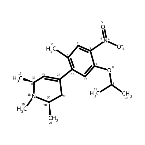 Cc1cc([N+](=O)[O-])c(OC(C)C)cc1C1=C[C@H](C)N(C)[C@H](C)C1